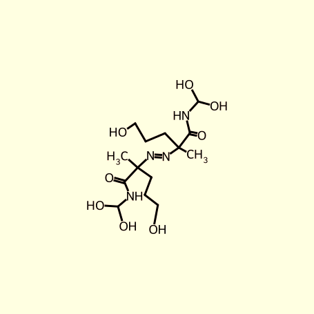 CC(CCCO)(N=NC(C)(CCCO)C(=O)NC(O)O)C(=O)NC(O)O